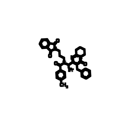 Cc1ccc(C(=O)N(CCCN2C(=O)c3ccccc3C2=O)C(c2nc3n(c(=O)c2Cc2ccccc2)CCCC3)C(C)C)cc1